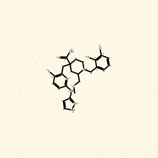 COCC1CC(Cc2nc(Nc3cc[nH]n3)ccc2F)(C(=O)O)CCN1Cc1cccc(Cl)c1F